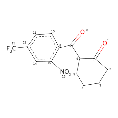 O=C1CCCCC1C(=O)c1ccc(C(F)(F)F)cc1[N+](=O)[O-]